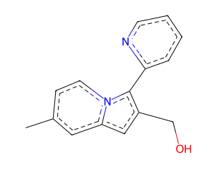 Cc1ccn2c(-c3ccccn3)c(CO)cc2c1